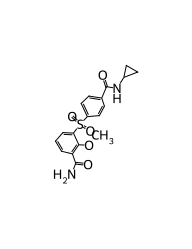 COc1c(C(N)=O)cccc1S(=O)(=O)c1ccc(C(=O)NC2CC2)cc1